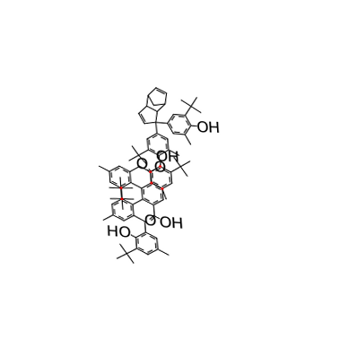 Cc1cc(Cc2cc(C)cc(C(C)(C)C)c2-c2c(C(=O)O)ccc(C(=O)Oc3c(C)cc(C4(c5cc(C)c(O)c(C(C)(C)C)c5)C=CC5C6C=CC(C6)C54)cc3C(C)(C)C)c2-c2c(Cc3cc(C)cc(C(C)(C)C)c3O)cc(C)cc2C(C)(C)C)c(O)c(C(C)(C)C)c1